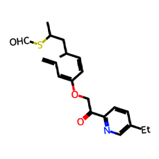 C=C/C=C(\C=C/C(C)CC(C)SC=O)OCC(=O)c1ccc(CC)cn1